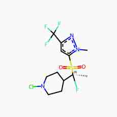 Cn1nc(C(F)(F)F)cc1S(=O)(=O)[C@@](C)(F)C1CCN(Cl)CC1